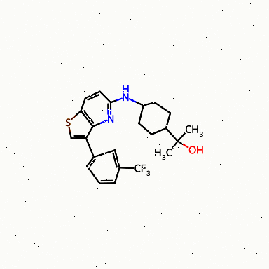 CC(C)(O)C1CCC(Nc2ccc3scc(-c4cccc(C(F)(F)F)c4)c3n2)CC1